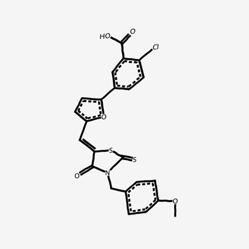 COc1ccc(CN2C(=O)/C(=C/c3ccc(-c4ccc(Cl)c(C(=O)O)c4)o3)SC2=S)cc1